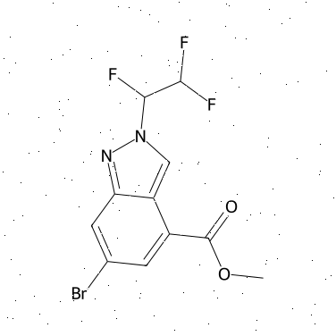 COC(=O)c1cc(Br)cc2nn(C(F)C(F)F)cc12